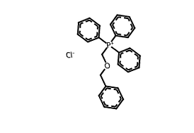 [Cl-].c1ccc(COC[P+](c2ccccc2)(c2ccccc2)c2ccccc2)cc1